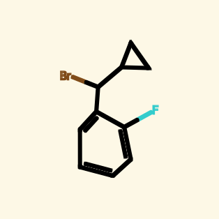 Fc1ccccc1C(Br)C1CC1